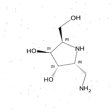 NC[C@H]1N[C@H](CO)[C@H](O)[C@H]1O